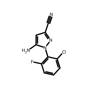 N#Cc1cc(N)n(-c2c(F)cccc2Cl)n1